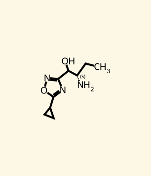 CC[C@H](N)C(O)c1noc(C2CC2)n1